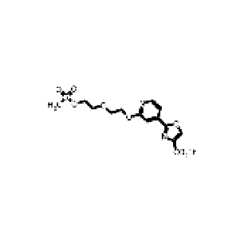 CCOC(=O)c1coc(-c2ccnc(OCCOCCOS(C)(=O)=O)c2)n1